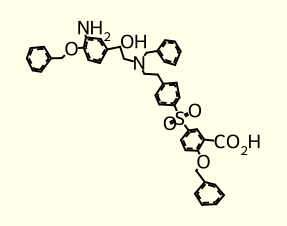 Nc1cc([C@@H](O)CN(CCc2ccc(S(=O)(=O)c3ccc(OCc4ccccc4)c(C(=O)O)c3)cc2)Cc2ccccc2)ccc1OCc1ccccc1